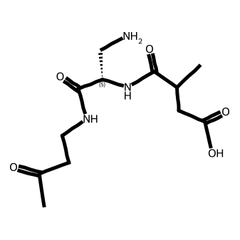 CC(=O)CCNC(=O)[C@H](CN)NC(=O)C(C)CC(=O)O